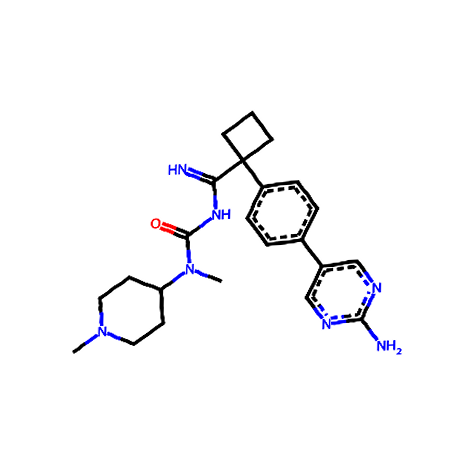 CN1CCC(N(C)C(=O)NC(=N)C2(c3ccc(-c4cnc(N)nc4)cc3)CCC2)CC1